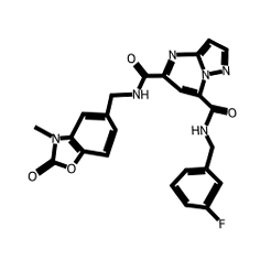 Cn1c(=O)oc2ccc(CNC(=O)c3cc(C(=O)NCc4cccc(F)c4)n4nccc4n3)cc21